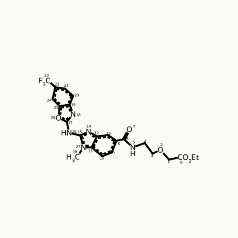 CCOC(=O)COCCNC(=O)c1ccc2c(c1)nc(Nc1nc3ccc(C(F)(F)F)cc3o1)n2C